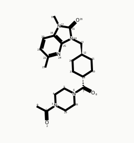 CC(=O)N1CCN(C(=O)[C@H]2CC[C@H](Cn3c(=O)n(C)c4ccc(C)nc43)CC2)CC1